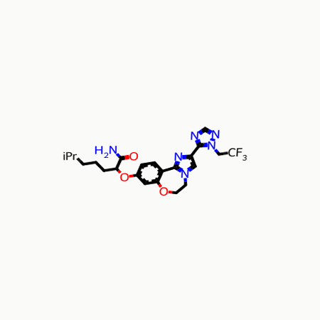 CC(C)CCCC(Oc1ccc2c(c1)OCCn1cc(-c3ncnn3CC(F)(F)F)nc1-2)C(N)=O